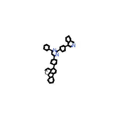 c1ccc(-c2cc(-c3ccc(-c4ccc5c6c(cccc46)-c4ccccc4-5)cc3)nc(-c3ccc(-c4cncc5ccccc45)cc3)n2)cc1